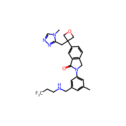 Cc1cc(CNCCC(F)(F)F)cc(N2Cc3ccc(C4(Cc5nncn5C)COC4)cc3C2=O)c1